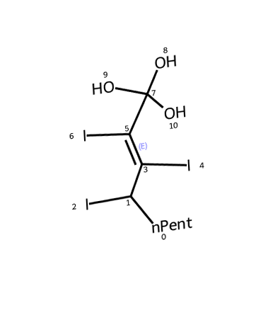 CCCCCC(I)/C(I)=C(\I)C(O)(O)O